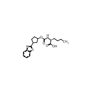 CCCC[C@H](NC(=O)OC1CCC(c2nc3ccccc3s2)C1)C(=O)O